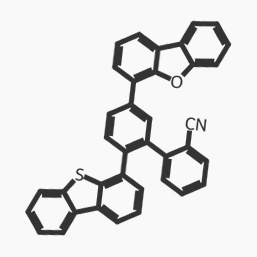 N#Cc1ccccc1-c1cc(-c2cccc3c2oc2ccccc23)ccc1-c1cccc2c1sc1ccccc12